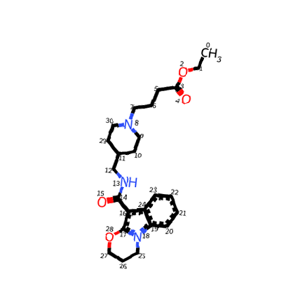 CCOC(=O)CCCN1CCC(CNC(=O)c2c3n(c4ccccc24)CCCO3)CC1